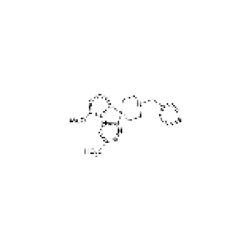 COc1cccc(C2(c3ncc(C(=O)O)cn3)CCN(Cc3ccccc3)CC2)c1